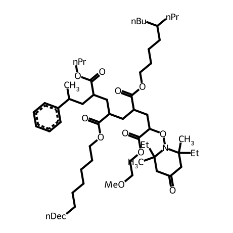 CCCCCCCCCCCCCCCCOC(=O)C(CC(CC(ON1C(C)(CC)CC(=O)CC1(C)CC)C(=O)OCCOC)C(=O)OCCCCC(CCC)CCCC)CC(CC(C)c1ccccc1)C(=O)OCCC